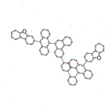 c1ccc(-c2c3ccccc3c(-c3ccc4c(c3)oc3ccccc34)c3ccccc23)c(-c2ccc(-c3ccc4c(-c5c6ccccc6c(-c6ccc7c(c6)oc6ccccc67)c6ccccc56)cc5ccccc5c4c3)cc2)c1